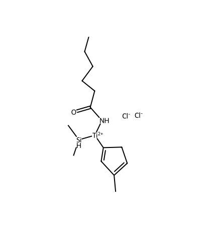 CCCCCC(=O)[NH][Ti+2]([C]1=CC(C)=CC1)[SiH](C)C.[Cl-].[Cl-]